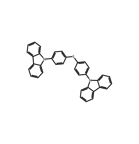 c1ccc2c(c1)c1ccccc1n2-c1ccc(Sc2ccc(-n3c4ccccc4c4ccccc43)cc2)cc1